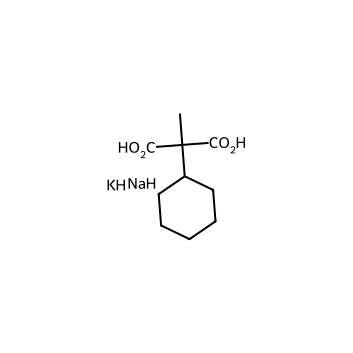 CC(C(=O)O)(C(=O)O)C1CCCCC1.[KH].[NaH]